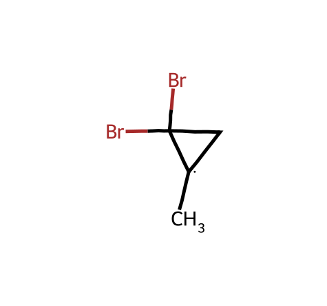 C[C]1CC1(Br)Br